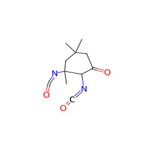 CC1(C)CC(=O)C(N=C=O)C(C)(N=C=O)C1